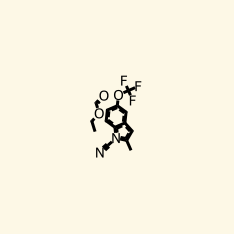 CCOC=O.Cc1cc2cc(OC(F)(F)F)ccc2n1C#N